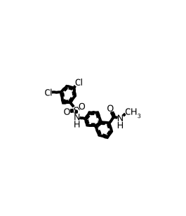 CNC(=O)c1cccc2cc(NS(=O)(=O)c3cc(Cl)cc(Cl)c3)ccc12